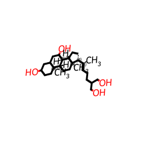 C[C@H](CCCC(CO)CO)[C@H]1CC[C@H]2[C@@H]3C(O)CC4CC(O)CC[C@]4(C)[C@H]3CC[C@]12C